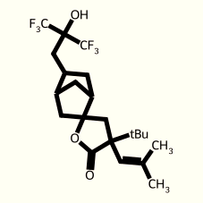 CC(C)=CC1(C(C)(C)C)CC2(CC3CC2CC3CC(O)(C(F)(F)F)C(F)(F)F)OC1=O